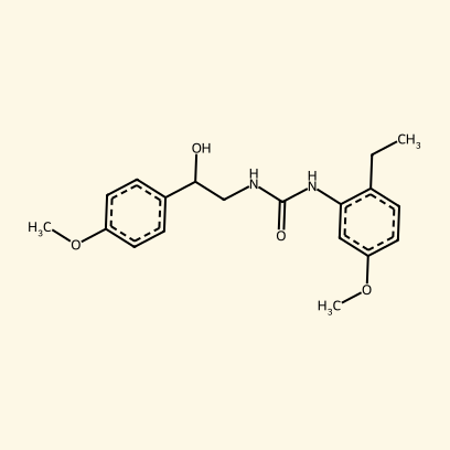 CCc1ccc(OC)cc1NC(=O)NCC(O)c1ccc(OC)cc1